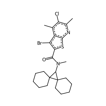 Cc1nc2sc(C(=O)N(C)C3C4(CCCCC4)C34CCCCC4)c(Br)c2c(C)c1Cl